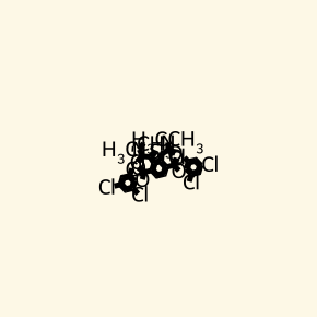 CN(C)C(=O)c1sc(C(=O)N(C)C)c2c(C(=O)Oc3c(Cl)cc(Cl)cc3Cl)ccc(C(=O)Oc3c(Cl)cc(Cl)cc3Cl)c12